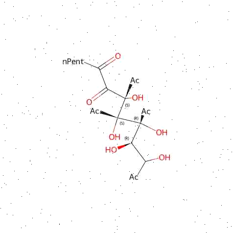 CCCCCC(=O)C(=O)[C@@](O)(C(C)=O)[C@](O)(C(C)=O)[C@@](O)(C(C)=O)[C@H](O)C(O)C(C)=O